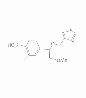 COC[C@H](OCc1cscn1)c1ccc(C(=O)O)c(C)c1